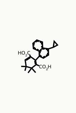 CC1(C)C=C(C(=O)O)C(c2ccc(C3CC3)c3ccccc23)=C(C(=O)O)C1(C)C